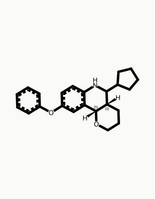 c1ccc(Oc2ccc3c(c2)[C@H]2OCCC[C@H]2C(C2CCCC2)N3)cc1